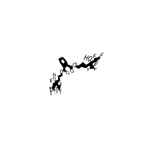 O=C(OCCCC(O)(C(F)(F)F)C(F)(F)F)C1C2CCC(C2)C1C(=O)OCCCC(O)(C(F)(F)F)C(F)(F)F